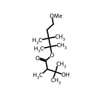 COCCC(C)(C)C(C)(C)OC(=O)C(C)C(C)(C)O